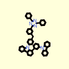 c1ccc(-c2nc(-c3ccccc3)nc(-c3cccc(Cc4ccc(-n5c6ccccc6c6cccc(-c7cccc(-n8c9ccccc9c9ccccc98)c7)c65)cc4)c3)n2)cc1